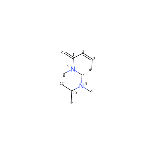 C=C(/C=C\C)N(C)CN(C)C(C)C